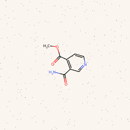 COC(=O)c1ccncc1C(N)=O